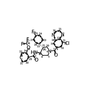 O=C(N[C@@H]1CCN(C(=O)c2cc(Cl)c3nccnc3c2)C[C@H]1c1ccc(F)cc1)c1ccccc1OC(F)F